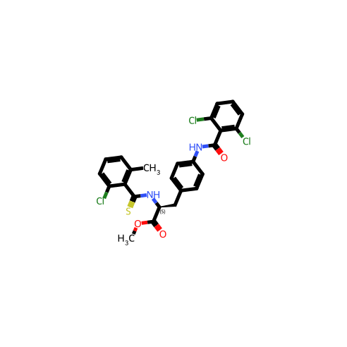 COC(=O)[C@H](Cc1ccc(NC(=O)c2c(Cl)cccc2Cl)cc1)NC(=S)c1c(C)cccc1Cl